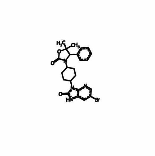 CC1(C)OC(=O)N(C2CCC(n3c(=O)[nH]c4cc(Br)cnc43)CC2)C1c1ccccc1